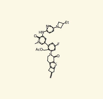 C=C1Cc2sc3c(c2C1)CCN(c1cc(F)cc(-c2cc(Nc4ccc(N5CC(CC)C5)cn4)c(=O)n(C)c2)c1COC(C)=O)C3=O